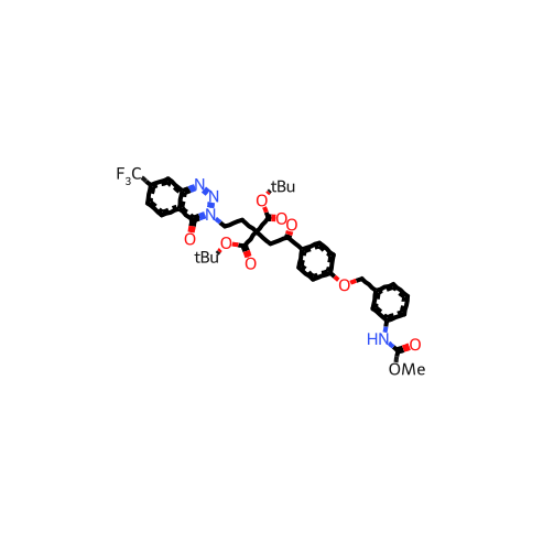 COC(=O)Nc1cccc(COc2ccc(C(=O)CC(CCn3nnc4cc(C(F)(F)F)ccc4c3=O)(C(=O)OC(C)(C)C)C(=O)OC(C)(C)C)cc2)c1